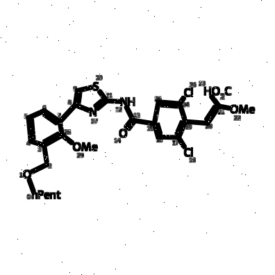 CCCCCOCc1cccc(-c2csc(NC(=O)c3cc(Cl)c(C=C(OC)C(=O)O)c(Cl)c3)n2)c1OC